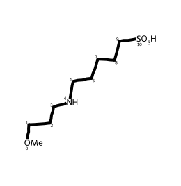 COCCCNCCCCCS(=O)(=O)O